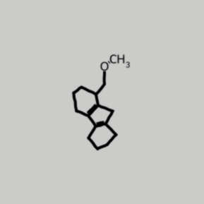 COCC1CCCC2=C1CC1=C2CCCC1